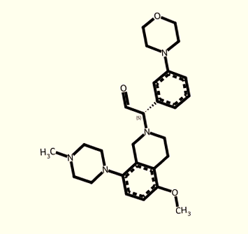 COc1ccc(N2CCN(C)CC2)c2c1CCN([C@H](C=O)c1cccc(N3CCOCC3)c1)C2